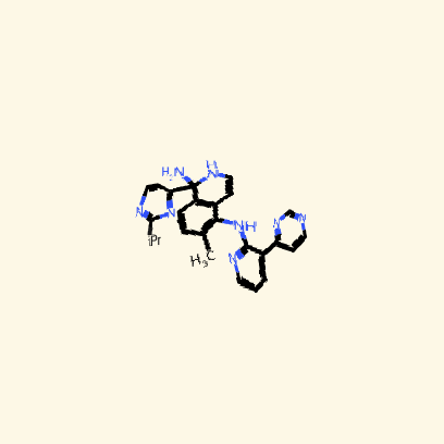 Cc1ccc2c(c1Nc1ncccc1-c1ccncn1)C=CNC2(N)c1ccnc(C(C)C)n1